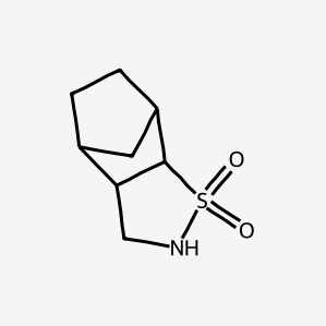 O=S1(=O)NCC2C3CCC(C3)C21